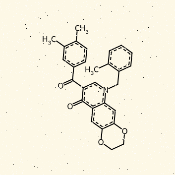 Cc1ccc(C(=O)c2cn(Cc3ccccc3C)c3cc4c(cc3c2=O)OCCO4)cc1C